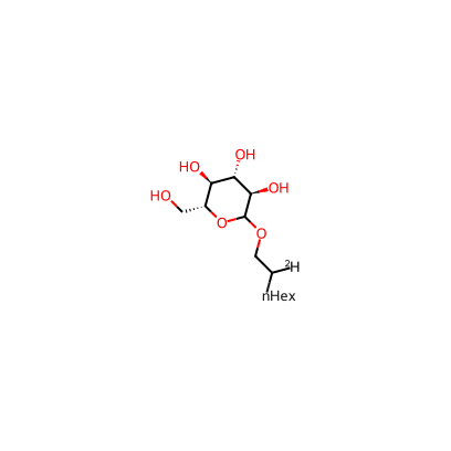 [2H]C(CCCCCC)COC1O[C@H](CO)[C@@H](O)[C@H](O)[C@H]1O